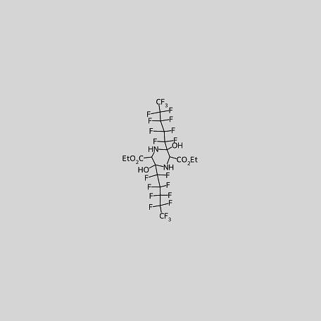 CCOC(=O)C1NC(O)(C(F)(F)C(F)(F)C(F)(F)C(F)(F)C(F)(F)F)C(C(=O)OCC)NC1(O)C(F)(F)C(F)(F)C(F)(F)C(F)(F)C(F)(F)F